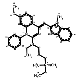 CCN(CCC[N+](C)(C)CC)C1=CC(=Cc2sc3ccccc3[n+]2C)c2ccc(OC)cc2N1c1ccccc1